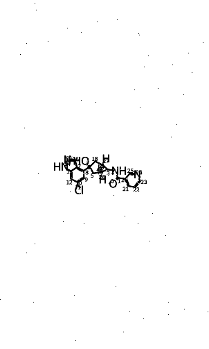 O=C(NC1[C@H]2CC(O)(c3cc(Cl)cc4[nH]ncc34)C[C@@H]12)c1cccnc1